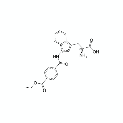 CCOC(=O)c1ccc(C(=O)Nn2cc(C[C@H](N)C(=O)O)c3ccccc32)cc1